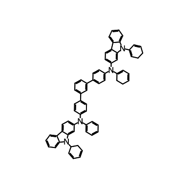 C1=CCCC(N(c2ccc(-c3cccc(-c4ccc(N(c5ccccc5)c5ccc6c7ccccc7n(C7C=CC=CC7)c6c5)cc4)c3)cc2)c2ccc3c4ccccc4n(C4=CCCC=C4)c3c2)=C1